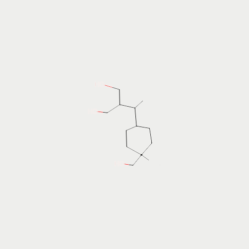 CC(C(CO)CO)C1CCC(C)(CO)CC1